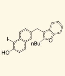 CCCCc1oc2ccccc2c1Cc1ccc2c(I)c(O)ccc2c1